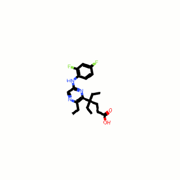 CCc1ncc(Nc2ccc(F)cc2F)nc1C(CC)(CC)CCC(=O)O